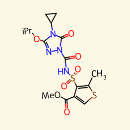 COC(=O)c1csc(C)c1S(=O)(=O)NC(=O)n1nc(OC(C)C)n(C2CC2)c1=O